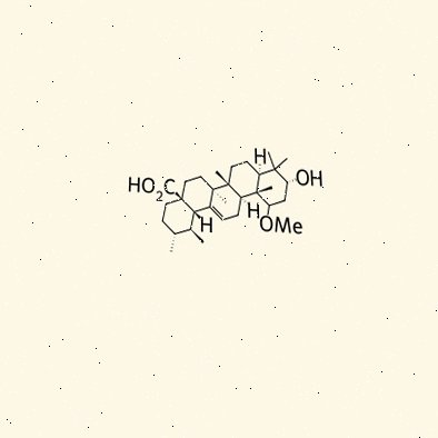 COC1C[C@@H](O)C(C)(C)[C@@H]2CC[C@]3(C)[C@H](CC=C4[C@@H]5[C@@H](C)[C@H](C)CC[C@]5(C(=O)O)CC[C@]43C)[C@@]12C